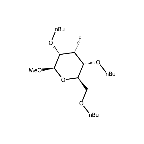 CCCCOC[C@H]1O[C@@H](OC)[C@H](OCCCC)[C@H](F)[C@@H]1OCCCC